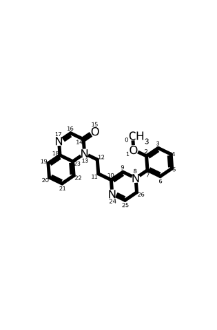 COc1ccccc1N1C=C(CCn2c(=O)cnc3ccccc32)N=CC1